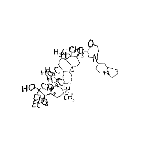 CCO[C@@H](C1C[C@@H](C)[C@H]2C(O1)[C@H](O)[C@@]1(C)C3CC[C@H]4C(C)(C)[C@@H](O[C@H]5CN(C6CCN7CCCC7C6)CCO5)CC[C@@]45C[C@@]35CC[C@]21C)C(C)(C)O